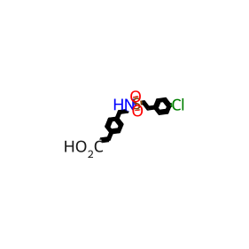 O=C(O)C=Cc1ccc(CCNS(=O)(=O)CCc2ccc(Cl)cc2)cc1